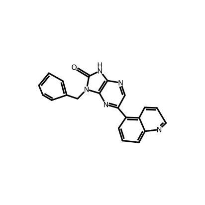 O=c1[nH]c2ncc(-c3cccc4ncccc34)nc2n1Cc1ccccc1